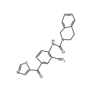 Nc1cc(C(=O)c2cncs2)ccc1NC(=O)N1CCc2ccccc2C1